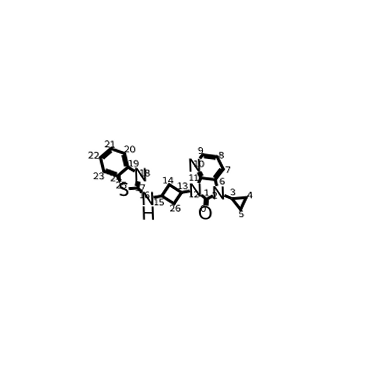 O=c1n(C2CC2)c2cccnc2n1C1CC(Nc2nc3ccccc3s2)C1